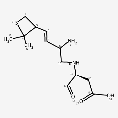 CC1(C)SCC1/C=C/C(N)CN[C@H](C=O)CC(=O)O